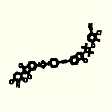 Cc1c(O[C@H]2C(C)(C)[C@H](N3Cc4cc(C#CC5CCN(C6CN(c7ccc8c(c7)C(=O)N(C7CCC(=O)NC7=O)C8=O)C6)CC5)ccc4C3=O)C2(C)C)ccc(C#N)c1Cl